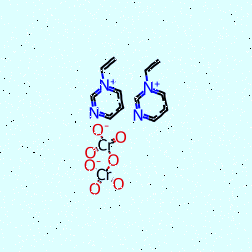 C=C[n+]1cccnc1.C=C[n+]1cccnc1.[O]=[Cr](=[O])([O-])[O][Cr](=[O])(=[O])[O-]